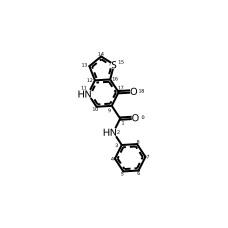 O=C(Nc1ccccc1)c1c[nH]c2ccsc2c1=O